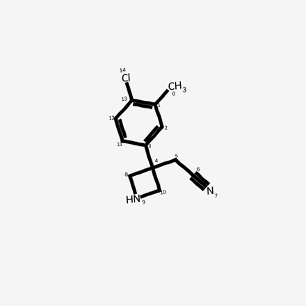 Cc1cc(C2(CC#N)CNC2)ccc1Cl